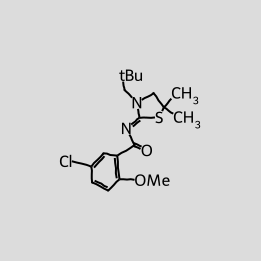 COc1ccc(Cl)cc1C(=O)/N=C1\SC(C)(C)CN1CC(C)(C)C